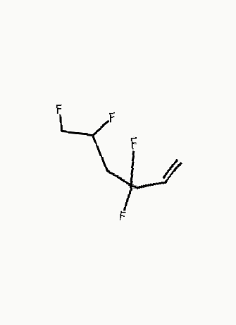 C=CC(F)(F)CC(F)CF